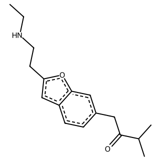 CCNCCc1cc2ccc(CC(=O)C(C)C)cc2o1